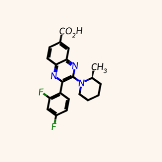 C[C@H]1CCCCN1c1nc2cc(C(=O)O)ccc2nc1-c1ccc(F)cc1F